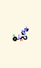 O=C(CC1CCCCN1c1ccnc(-n2ccnc2)n1)NCc1cccc(Cl)c1